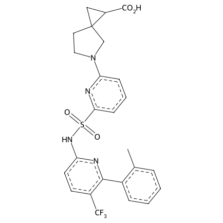 Cc1ccccc1-c1nc(NS(=O)(=O)c2cccc(N3CCC4(CC4C(=O)O)C3)n2)ccc1C(F)(F)F